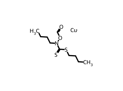 CCCCSC(=S)N(CCCC)OC=O.[Cu]